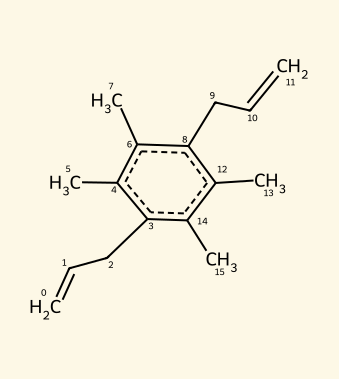 C=CCc1c(C)c(C)c(CC=C)c(C)c1C